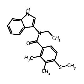 CCN(C(=O)c1ccc(SC)c(C)c1C)c1c[nH]c2ccccc12